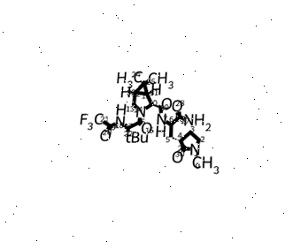 CN1CC[C@@H](CC(NC(=O)[C@@H]2[C@@H]3[C@H](CN2C(=O)C(NC(=O)C(F)(F)F)C(C)(C)C)C3(C)C)C(N)=O)C1=O